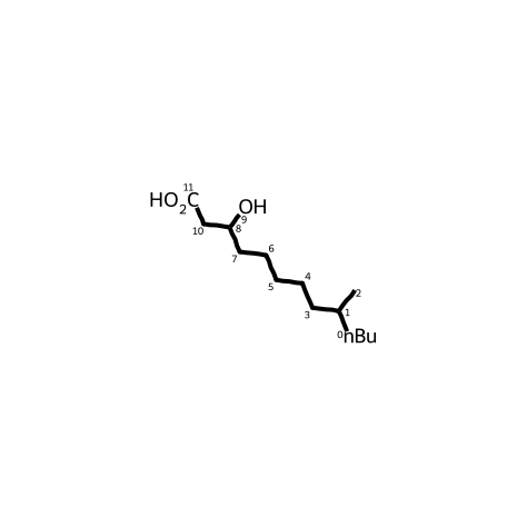 CCCCC(C)CCCCCC(O)CC(=O)O